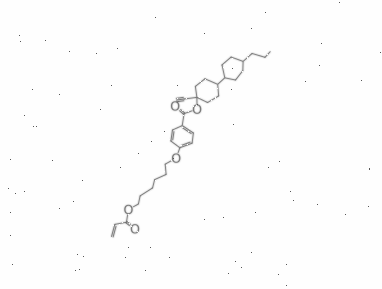 C#CC1(OC(=O)c2ccc(OCCCCCCOC(=O)C=C)cc2)CCC(C2CCC(CCC)CC2)CC1